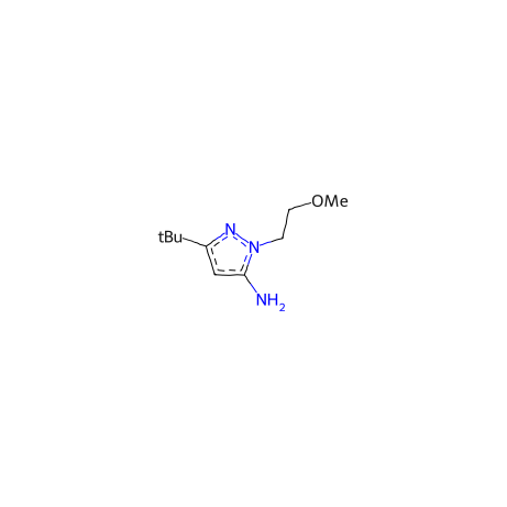 COCCn1nc(C(C)(C)C)cc1N